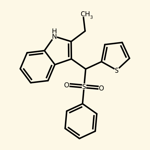 CCc1[nH]c2ccccc2c1C(c1cccs1)S(=O)(=O)c1ccccc1